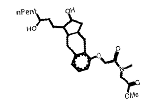 CCCCCC(O)CCC1C(O)CC2Cc3c(cccc3OCC(=O)N(C)CC(=O)OC)CC21